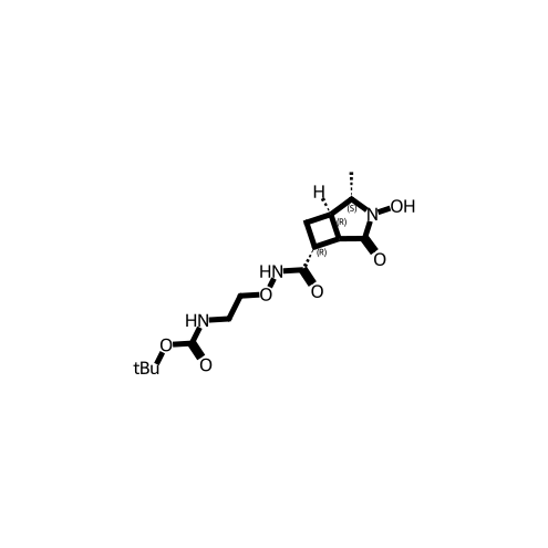 C[C@H]1[C@@H]2C[C@@H](C(=O)NOCCNC(=O)OC(C)(C)C)C2C(=O)N1O